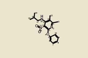 Cc1nc(Oc2ccccc2)c([N+](=O)[O-])c(NCC(C)C)c1C